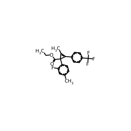 CCOC(=O)C1(c2ccc(C)cc2F)C(C)=C1c1ccc(C(F)(F)F)cc1